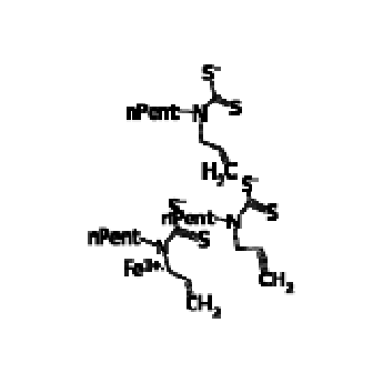 C=CCN(CCCCC)C(=S)[S-].C=CCN(CCCCC)C(=S)[S-].C=CCN(CCCCC)C(=S)[S-].[Fe+3]